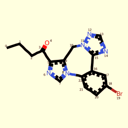 CCCC(=O)c1ncn2c1Cn1ncnc1-c1cc(Br)ccc1-2